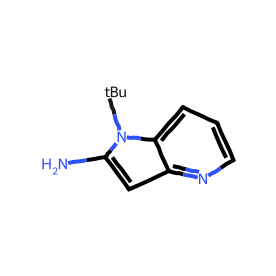 CC(C)(C)n1c(N)cc2ncccc21